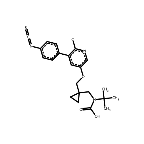 CC(C)(C)N(CC1(COc2cnc(Cl)c(-c3ccc(N=C=S)cc3)c2)CC1)C(=O)O